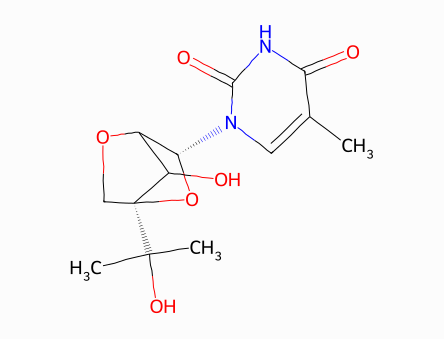 Cc1cn([C@@H]2O[C@@]3(C(C)(C)O)COC2C3O)c(=O)[nH]c1=O